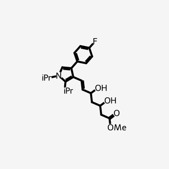 COC(=O)CC(O)CC(O)/C=C/c1c(-c2ccc(F)cc2)cn(C(C)C)c1C(C)C